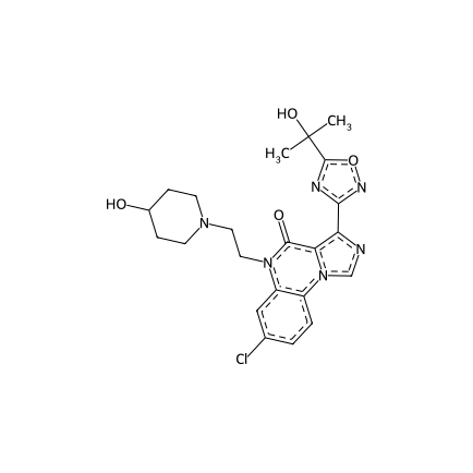 CC(C)(O)c1nc(-c2ncn3c2c(=O)n(CCN2CCC(O)CC2)c2cc(Cl)ccc23)no1